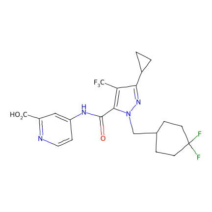 O=C(O)c1cc(NC(=O)c2c(C(F)(F)F)c(C3CC3)nn2CC2CCC(F)(F)CC2)ccn1